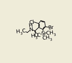 CCNC(=O)c1c(Cl)ccc(Br)c1[Si](C)(C)C